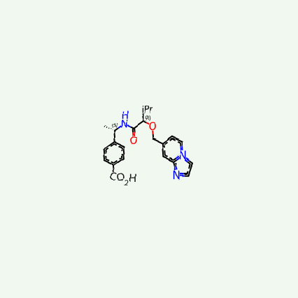 CC(C)[C@@H](OCc1ccn2ccnc2c1)C(=O)N[C@@H](C)c1ccc(C(=O)O)cc1